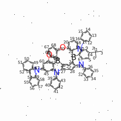 CC(C)(C)c1cc2c3c(c1)N(c1ccccc1)c1cccc4c1B3c1cc3c(cc1N2c1ccccc1)N(c1ccccc1)c1cc(-n2c5ccccc5c5ccccc52)cc2c1B3c1c(cccc1O4)O2